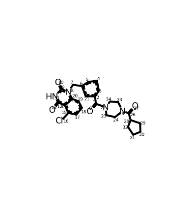 O=C(c1cccc(Cn2c(=O)[nH]c(=O)c3c(Cl)cccc32)c1)N1CCN(C(=O)C2CCCC2)CC1